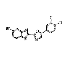 Clc1ccc(-c2cnc(-c3nc4cc(Br)ccc4s3)o2)cc1Cl